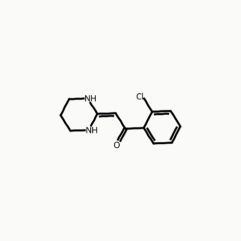 O=C(C=C1NCCCN1)c1ccccc1Cl